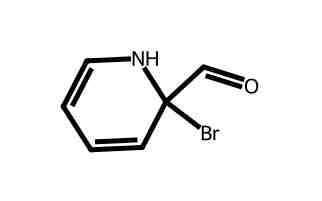 O=CC1(Br)C=CC=CN1